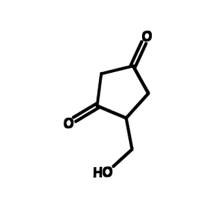 O=C1CC(=O)C(CO)C1